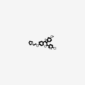 COc1ccc2c(C(=O)c3ccc(Cl)nc3)c(-c3ccc(OCCN4CCCC4)cc3)sc2c1